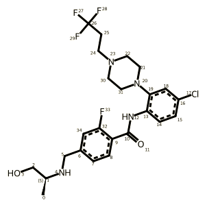 C[C@@H](CO)NCc1ccc(C(=O)Nc2ccc(Cl)cc2N2CCN(CCC(F)(F)F)CC2)c(F)c1